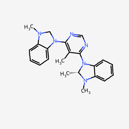 Cc1c(N2CN(C)c3ccccc32)ncnc1N1c2ccccc2N(C)[C@@H]1C